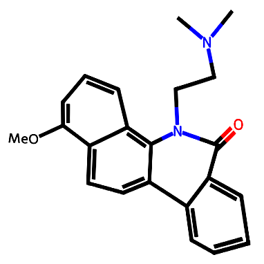 COc1cccc2c1ccc1c3ccccc3c(=O)n(CCN(C)C)c21